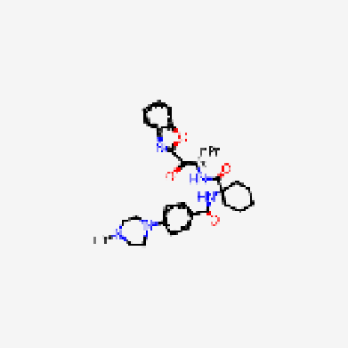 CCC[C@H](NC(=O)C1(NC(=O)c2ccc(N3CCN(C(C)C)CC3)cc2)CCCCC1)C(=O)c1nc2ccccc2o1